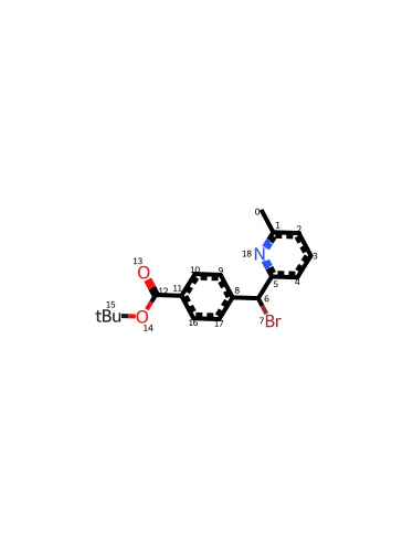 Cc1cccc(C(Br)c2ccc(C(=O)OC(C)(C)C)cc2)n1